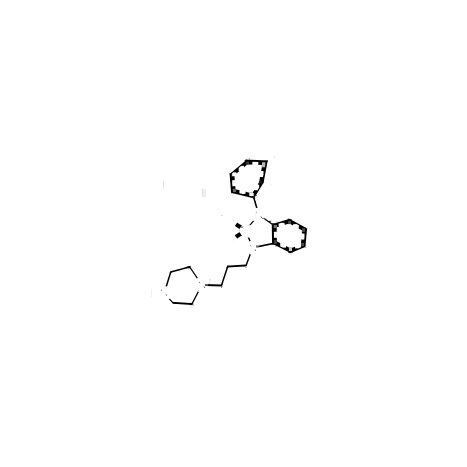 Cl.Cl.O=S1(=O)N(CCCN2CCNCC2)c2ccccc2N1c1ccccc1